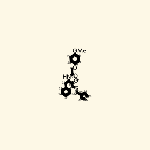 COc1ccc(OCC(=O)NC(Cc2ccccc2)C(=O)CSCc2ccsc2)cc1